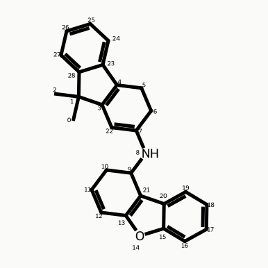 CC1(C)C2=C(CCC(NC3CC=Cc4oc5ccccc5c43)=C2)c2ccccc21